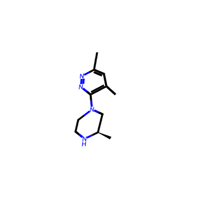 Cc1cc(C)c(N2CCN[C@H](C)C2)nn1